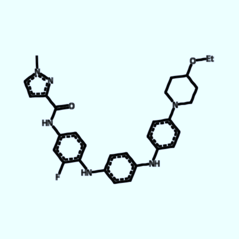 CCOC1CCN(c2ccc(Nc3ccc(Nc4ccc(NC(=O)c5ccn(C)n5)cc4F)cc3)cc2)CC1